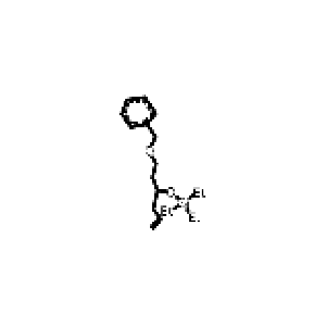 C=CCC(CCOCc1ccccc1)O[Si](CC)(CC)CC